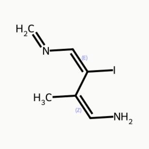 C=N/C=C(I)\C(C)=C/N